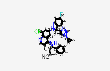 BC(Nc1cc(Cl)c2ncc(C#N)c(N[C@H](CCC#N)c3ccccc3)c2c1)(c1ccc(F)cc1)c1cn(C2CC2)nn1